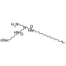 C/C=C/CCCCCCCCCCCCCCNC(=O)CCN(CCCN)CCC(=O)NCCCCCCCCCCCCCCC